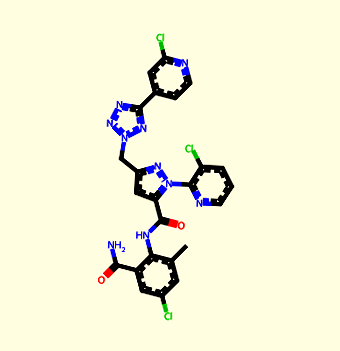 Cc1cc(Cl)cc(C(N)=O)c1NC(=O)c1cc(Cn2nnc(-c3ccnc(Cl)c3)n2)nn1-c1ncccc1Cl